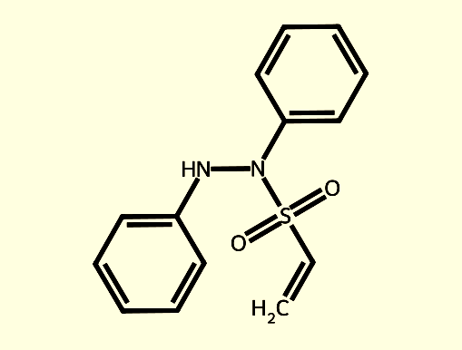 C=CS(=O)(=O)N(Nc1ccccc1)c1ccccc1